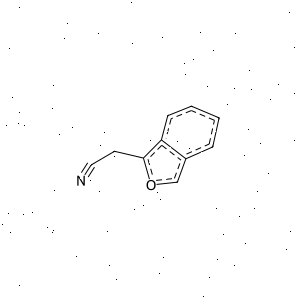 N#CCc1occ2ccccc12